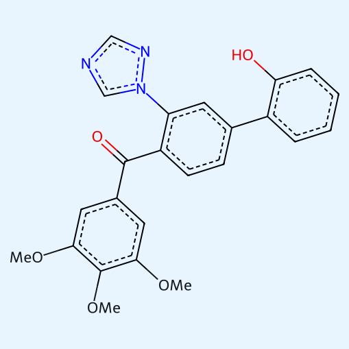 COc1cc(C(=O)c2ccc(-c3ccccc3O)cc2-n2cncn2)cc(OC)c1OC